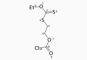 CCOC(=S)SCCOC(=O)Cl